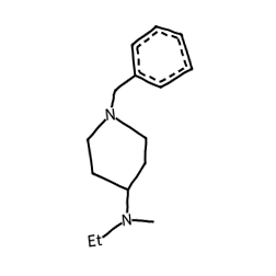 CCN(C)C1CCN(Cc2ccccc2)CC1